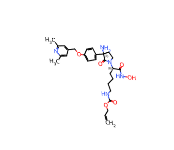 C=CCOC(=O)NCCCC[C@H](C(=O)NO)N1CC[C@@](N)(c2ccc(OCc3cc(C)nc(C)c3)cc2)C1=O